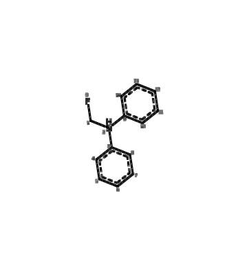 FC[SiH](c1ccccc1)c1ccccc1